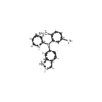 COc1ccc(C(C)(C)C)cc1N(c1ccc2cn[nH]c2c1)c1[c]cccn1